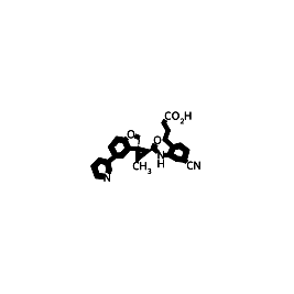 C[C@H]1[C@@H](C(=O)Nc2cc(C#N)ccc2CCCC(=O)O)[C@@]12COc1ccc(-c3cccnc3)cc12